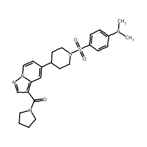 CN(C)c1ccc(S(=O)(=O)N2CCC(c3ccn4ncc(C(=O)N5CCCC5)c4c3)CC2)cc1